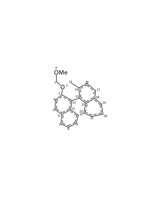 COCOc1ccc2ccccc2c1-c1c(C)ccc2ccccc12